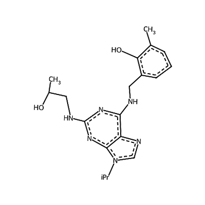 Cc1cccc(CNc2nc(NCC(C)O)nc3c2ncn3C(C)C)c1O